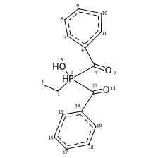 CC[PH](O)(C(=O)c1ccccc1)C(=O)c1ccccc1